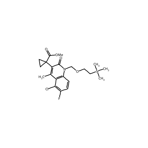 COC(=O)C1(c2c(C)c3c(Cl)c(F)ccc3n(COCC[Si](C)(C)C)c2=O)CC1